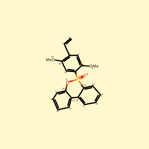 C=Cc1cc(OC)c(P2(=O)Oc3ccccc3-c3ccccc32)cc1OC